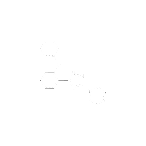 c1ccc(Oc2ccccc2-c2nnc(-c3ccccc3)o2)cc1